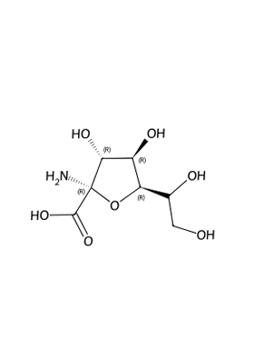 N[C@@]1(C(=O)O)O[C@H](C(O)CO)[C@H](O)[C@H]1O